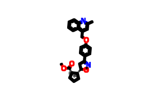 COC(=O)[C@H]1CCC[C@H]1C1CC(c2ccc(OCc3cc(C)nc4ccccc34)cc2)=NO1